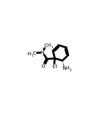 CCC1(C(=O)N(C)C)C=CC=C[C@@H]1N